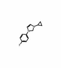 Fc1ccc(N2C=CN(C3CC3)C2)cc1